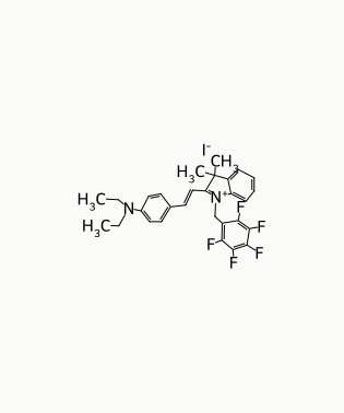 CCN(CC)c1ccc(/C=C/C2=[N+](Cc3c(F)c(F)c(F)c(F)c3F)c3ccccc3C2(C)C)cc1.[I-]